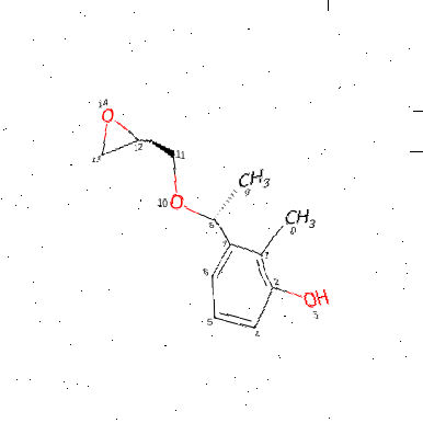 Cc1c(O)cccc1[C@@H](C)OC[C@H]1CO1